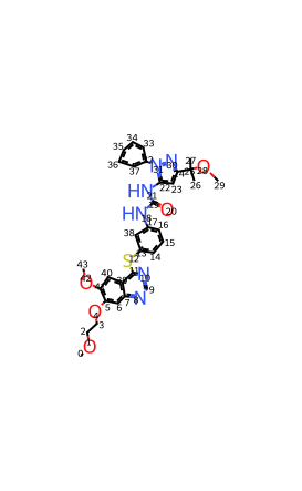 COCCOc1cc2ncnc(Sc3cccc(NC(=O)Nc4cc(C(C)(C)OC)nn4-c4ccccc4)c3)c2cc1OC